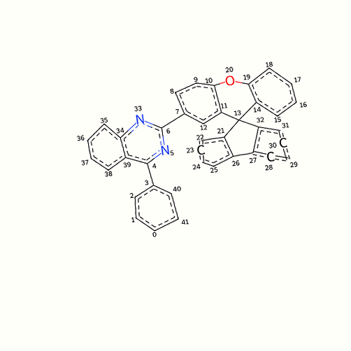 c1ccc(-c2nc(-c3ccc4c(c3)C3(c5ccccc5O4)c4ccccc4-c4ccccc43)nc3ccccc23)cc1